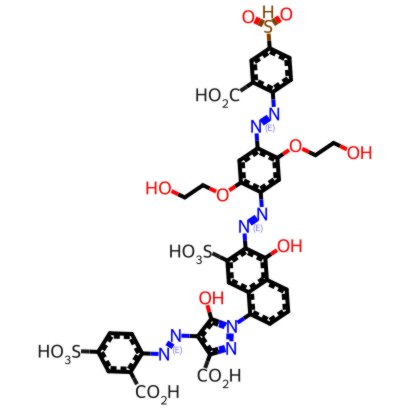 O=C(O)c1cc([SH](=O)=O)ccc1/N=N/c1cc(OCCO)c(/N=N/c2c(S(=O)(=O)O)cc3c(-n4nc(C(=O)O)c(/N=N/c5ccc(S(=O)(=O)O)cc5C(=O)O)c4O)cccc3c2O)cc1OCCO